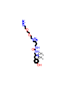 CN(C)C(CNC(=O)NCCc1cn(CCOCCOCCN=[N+]=[N-])nn1)Cc1ccc(O)cc1